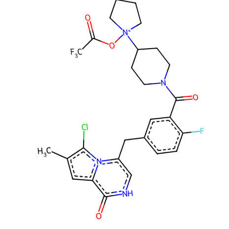 Cc1cc2c(=O)[nH]cc(Cc3ccc(F)c(C(=O)N4CCC([N+]5(OC(=O)C(F)(F)F)CCCC5)CC4)c3)n2c1Cl